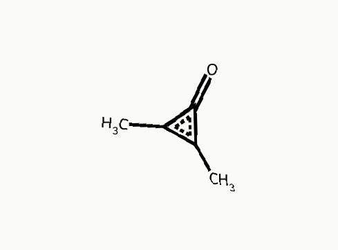 Cc1c(C)c1=O